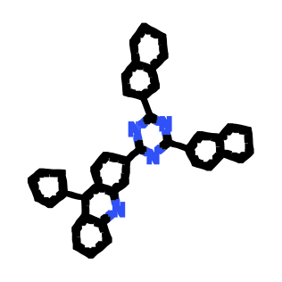 c1ccc(-c2c3ccccc3nc3cc(-c4nc(-c5ccc6ccccc6c5)nc(-c5ccc6ccccc6c5)n4)ccc23)cc1